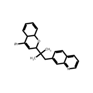 CC(C)C1=CC(C(C)(C)Cc2ccc3cccnc3c2)OC2C=CC=CC12